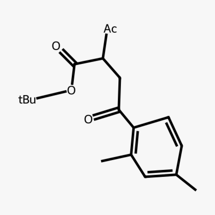 CC(=O)C(CC(=O)c1ccc(C)cc1C)C(=O)OC(C)(C)C